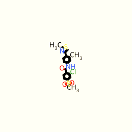 Cc1nc(-c2ccc(NC(=O)c3ccc(S(C)(=O)=O)cc3Cl)cc2C)cs1